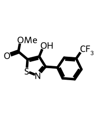 COC(=O)c1snc(-c2cccc(C(F)(F)F)c2)c1O